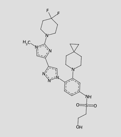 Cn1cc(-c2cn(-c3ccc(NS(=O)(=O)CCO)cc3N3CCC4(CC3)CC4)nn2)nc1N1CCC(F)(F)CC1